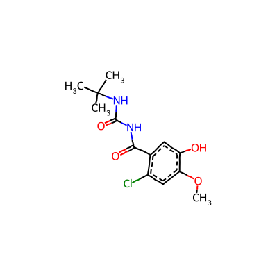 COc1cc(Cl)c(C(=O)NC(=O)NC(C)(C)C)cc1O